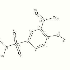 COc1ccc(S(=O)(=O)C(C)C)cc1[N+](=O)[O-]